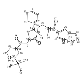 O=C(CN1CN(c2ccccc2)C2(CCN(C(=O)c3cnc4[nH]ncc4c3)CC2)C1=O)N1CCO[C@H](C(F)(F)F)C1